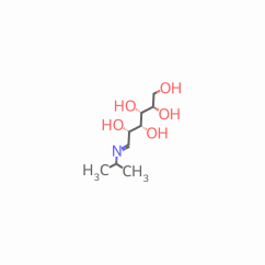 CC(C)/N=C/[C@H](O)[C@@H](O)[C@H](O)[C@H](O)CO